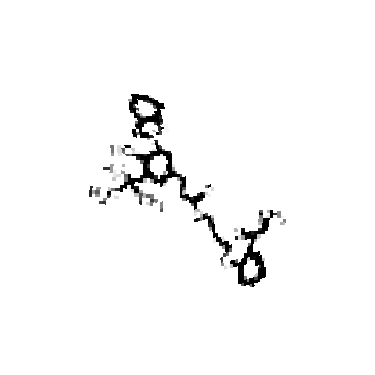 C=CC(=O)c1ccccc1OCCCOC(=O)CCc1cc(-n2nc3ccccc3n2)c(O)c(C(C)(C)C)c1